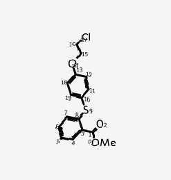 COC(=O)c1ccccc1Sc1ccc(OCCCl)cc1